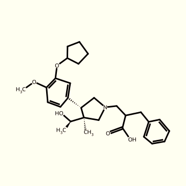 COc1ccc([C@@H]2CN(CC(Cc3ccccc3)C(=O)O)C[C@@]2(C)[C@@H](C)O)cc1OC1CCCC1